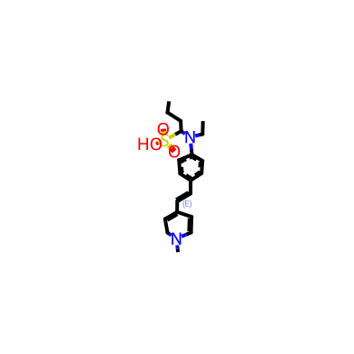 CCCC(N(CC)c1ccc(/C=C/C2=CCN(C)C=C2)cc1)S(=O)(=O)O